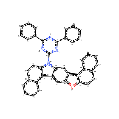 c1ccc(-c2nc(-c3ccccc3)nc(-n3c4cc5c(cc4c4c6ccccc6ccc43)oc3ccc4ccccc4c35)n2)cc1